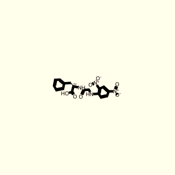 O=C(CNc1ccc([N+](=O)[O-])cc1[N+](=O)[O-])N[C@@H](Cc1ccccc1)C(=O)O